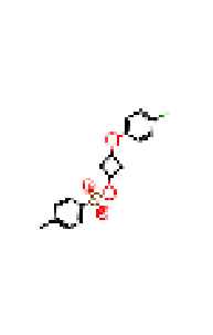 Cc1ccc(S(=O)(=O)OC2CC(Oc3ccc(F)cc3)C2)cc1